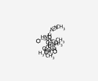 CC(C)C[C@H](NC(=O)[C@H](CCc1ccccc1)NC(=O)CCCN1CCN(C)CC1)C(=O)N[C@@H](Cc1ccccc1)C(=O)N[C@@H](CC(C)C)C(=O)[C@@]1(C)CO1